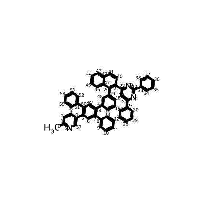 Cc1ccc(-c2cc(-c3ccccc3)c(-c3cccc(-c4c(-c5cc(-c6ccccc6)nc(-c6ccccc6)n5)ccc5ccccc45)c3)cc2-c2ccccc2)cn1